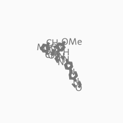 COc1ccc(N(C(=O)Oc2c(C)cccc2C)c2ccnc(Nc3ccc(N4CCC(N5CCOCC5)CC4)cc3)n2)c(OC)c1